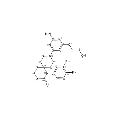 Nc1nc(OCCO)cc(N2CCC3(CCCC(=O)N3c3ccc(F)c(F)c3)CC2)n1